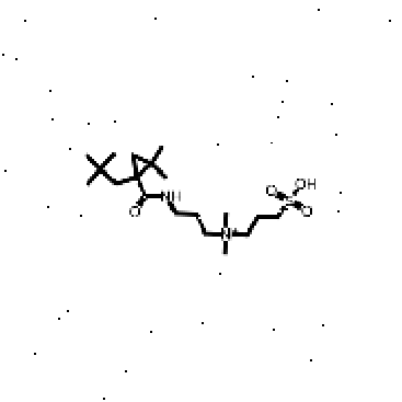 CC(C)(C)CC1(C(=O)NCCC[N+](C)(C)CCCS(=O)(=O)O)CC1(C)C